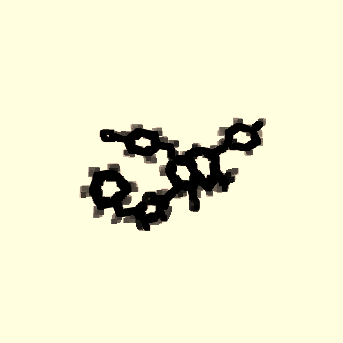 CN1CCN(c2cc3c(cc2F)c(=O)c(-c2nnc(Cc4ccccc4)o2)cn3Cc2ccc(Cl)cc2)CC1